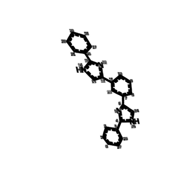 c1ccc(-c2nc(-c3cccc(-c4c[nH]c(-c5ccccc5)n4)c3)c[nH]2)cc1